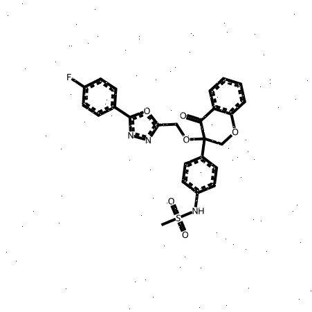 CS(=O)(=O)Nc1ccc(C2(OCc3nnc(-c4ccc(F)cc4)o3)COc3ccccc3C2=O)cc1